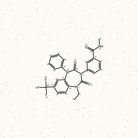 CCN1C(=O)N(c2cccc(C(=O)NC)c2)C(=O)N(c2ccccc2)c2cc(C(F)(F)F)ccc21